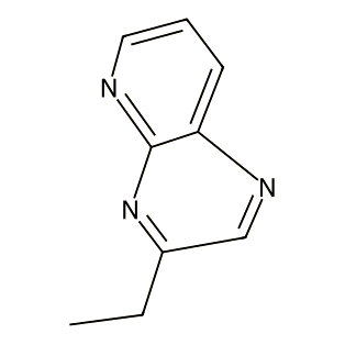 CCc1cnc2cccnc2n1